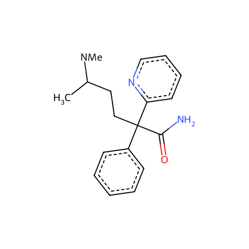 CNC(C)CCC(C(N)=O)(c1ccccc1)c1ccccn1